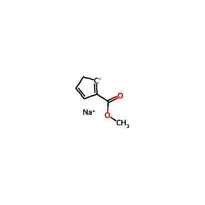 COC(=O)C1=[C-]CC=C1.[Na+]